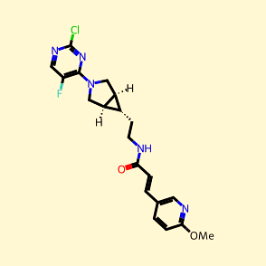 COc1ccc(/C=C/C(=O)NCC[C@@H]2[C@H]3CN(c4nc(Cl)ncc4F)C[C@@H]23)cn1